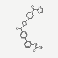 O=C(O)Nc1cccc(-c2ccc(C(=O)N3CC(N4CCN(C(=O)c5nccs5)CC4)C3)cc2)c1